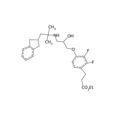 CCOC(=O)CCc1ccc(OCC(O)CNC(C)(C)CC2Cc3ccccc3C2)c(F)c1F